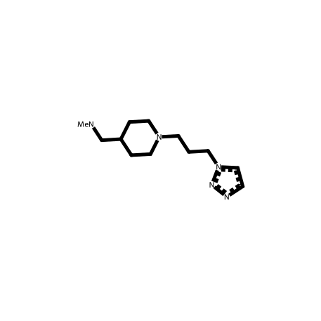 CNCC1CCN(CCCn2ccnn2)CC1